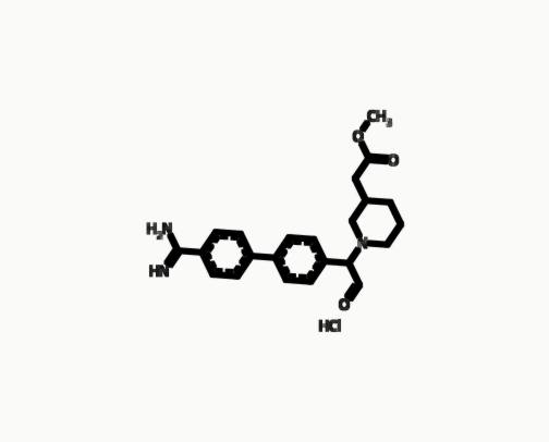 COC(=O)CC1CCCN(C(C=O)c2ccc(-c3ccc(C(=N)N)cc3)cc2)C1.Cl